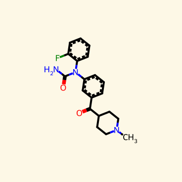 CN1CCC(C(=O)c2cccc(N(C(N)=O)c3ccccc3F)c2)CC1